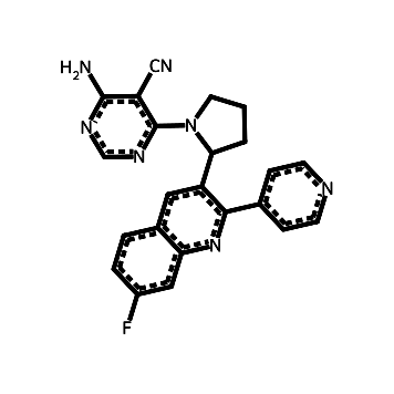 N#Cc1c(N)ncnc1N1CCCC1c1cc2ccc(F)cc2nc1-c1ccncc1